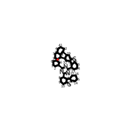 c1ccc(-c2nc(-c3cccc4sc5ccccc5c34)nc(-c3cccc4sc5cc6c(cc5c34)-c3cccc4cccc-6c34)n2)cc1